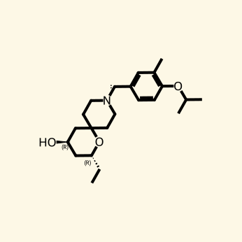 CC[C@@H]1C[C@@H](O)CC2(CCN([C]c3ccc(OC(C)C)c(C)c3)CC2)O1